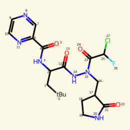 CC(C)(C)CC(NC(=O)c1cnccn1)C(=O)NN(CC1CCNC1=O)C(=O)C(F)Cl